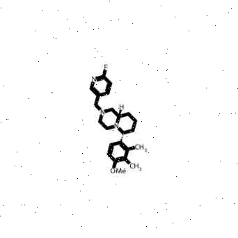 COc1ccc([C@H]2CCC[C@H]3CN(Cc4ccc(F)nc4)CCN32)c(C)c1C